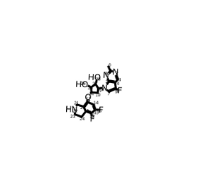 Cc1ncc2c(F)cn(C3CC(Oc4cc(F)c(F)c5c4CNCC5)C(O)C3O)c2n1